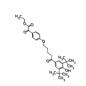 CCOC(=O)C(=O)c1ccc(OCCCCC(=O)c2cc(C(C)(C)C)c(O)c(C(C)(C)C)c2)cc1